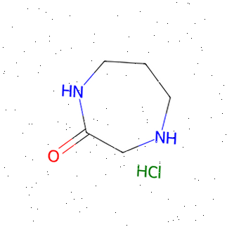 Cl.O=C1CNCCCN1